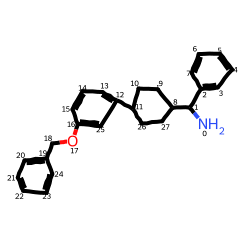 NC(c1ccccc1)C1[CH]CC(c2cccc(OCc3ccccc3)c2)CC1